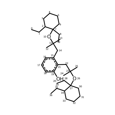 CCC1CCCCC1(CC)OC(C)(C)Cc1cccc(O)c1CC(C)(C)OC1(CC)CCCCC1CC